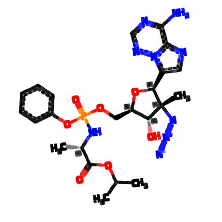 CC(C)OC(=O)[C@H](C)NP(=O)(OC[C@H]1O[C@@H](c2cnc3c(N)ncnn23)[C@](C)(N=[N+]=[N-])[C@@H]1O)Oc1ccccc1